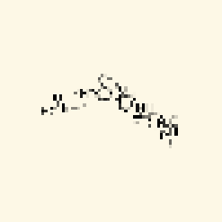 Cc1cc(-n2ccc(NC(=O)N3CCN(C(=O)C(F)(F)F)CC3)nc2=O)ccc1CN1CCC(NC(=O)O)CC1